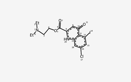 CCN(CC)CCOC(=O)c1cc(=O)c2c(I)cc(Cl)cc2[nH]1